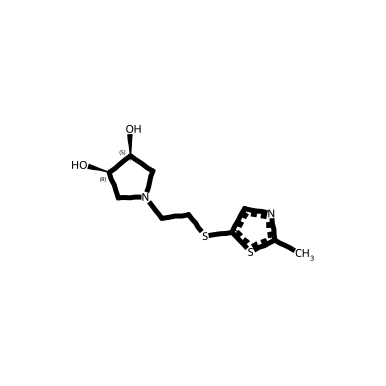 Cc1ncc(SCCN2C[C@@H](O)[C@@H](O)C2)s1